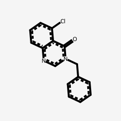 O=c1c2c(Cl)cccc2ncn1Cc1ccccc1